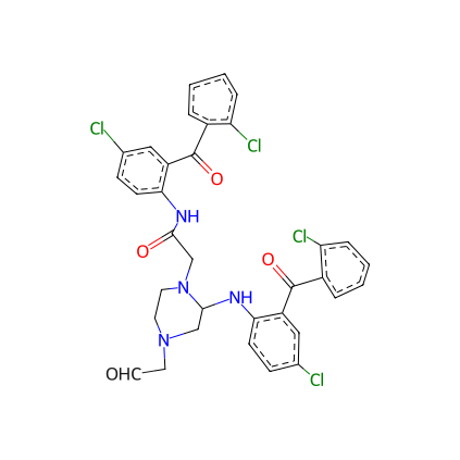 O=CCN1CCN(CC(=O)Nc2ccc(Cl)cc2C(=O)c2ccccc2Cl)C(Nc2ccc(Cl)cc2C(=O)c2ccccc2Cl)C1